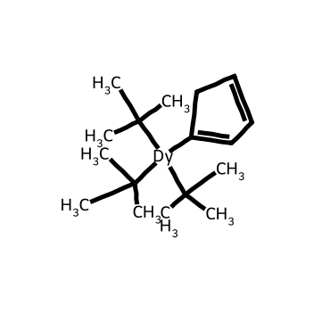 C[C](C)(C)[Dy]([C]1=CC=CC1)([C](C)(C)C)[C](C)(C)C